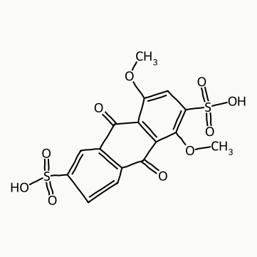 COc1cc(S(=O)(=O)O)c(OC)c2c1C(=O)c1cc(S(=O)(=O)O)ccc1C2=O